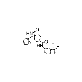 O=C(Nc1cccc(C(F)(F)F)c1)N1CCC2(CC1)C(=O)NC2c1ccccn1